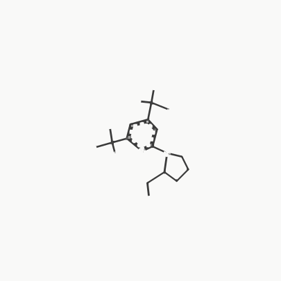 CCC1CCCN1c1cc(C(F)(F)F)cc(C(F)(F)F)n1